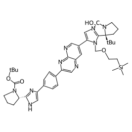 CC(C)(C)OC(=O)N1CCC[C@H]1c1nc(-c2ccc(-c3cnc4cc(-c5cnc([C@@]6(C(C)(C)C)CCCN6C(=O)O)n5COCC[Si](C)(C)C)cnc4n3)cc2)c[nH]1